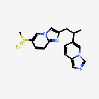 CC(Cc1cn2cc([SH](C)S)ccc2n1)c1ccc2cncn2c1